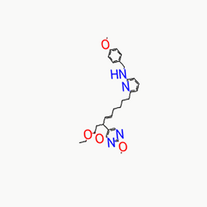 CCOC(=O)CC(C=CCCCCc1cccc(NCc2ccc(OC)cc2)n1)c1cnc(OC)nc1